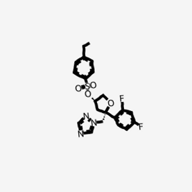 CCc1ccc(S(=O)(=O)O[C@@H]2CO[C@@](Cn3cncn3)(c3ccc(F)cc3F)C2)cc1